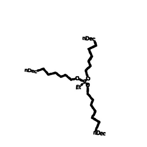 CCCCCCCCCCCCCCCCO[Si](CC)(OCCCCCCCCCCCCCCCC)OCCCCCCCCCCCCCCCC